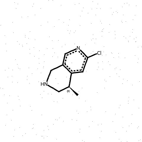 C[C@H]1CNCc2cnc(Cl)cc21